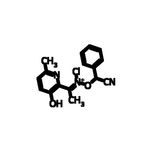 CC(c1nc(C)ccc1O)=[N+](Cl)OC(C#N)c1ccccc1